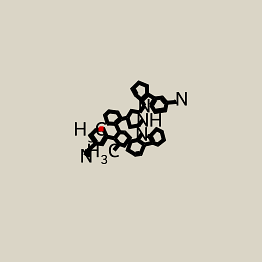 CC1CCCC(C2CC(N3C4=C(CCCC4)C4C=CCCC43)NC(n3c4c(c5cc(C#N)ccc53)CCC=C4)C2)=C1C1CCCC(C)C1C1=CC(C#N)=CCC1